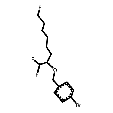 FCCCCCCC(OCc1ccc(Br)cc1)C(F)F